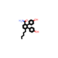 CCCCCc1ccc(C(N)=O)c(-c2ccc(O)cc2)c1-c1ccc(O)cc1